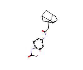 O=C(CC12CC3CC(CC(C3)C1)C2)Nc1ccc2c(c1)OCC(=O)N2